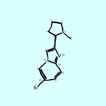 CN1CCCC1c1cn2cc(Br)ccc2n1